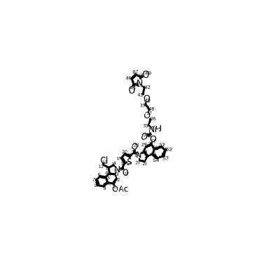 CC(=O)Oc1cc2c(c3ccccc13)C(CCl)CN2C(=O)c1ccc(C(=O)N2CCc3c2cc(OC(=O)NCCOCCOCCN2C(=O)C=CC2=O)c2ccccc32)s1